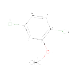 O=[C]Oc1cc(Cl)ccc1Cl